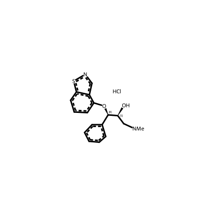 CNC[C@H](O)[C@H](Oc1cccc2sncc12)c1ccccc1.Cl